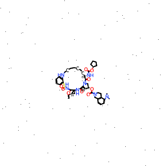 C=C[C@@H]1C[C@@]12NC(=O)[C@@H]1C[C@@H](OC(=O)N3CCc4c(cccc4N(C)C)C3)CN1C(=O)[C@@H](NC(=O)OC1CCCC1)CCCCCCCNc1ccccc1S(=O)(=O)NC2=O